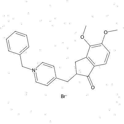 COc1ccc2c(c1OC)CC(Cc1cc[n+](Cc3ccccc3)cc1)C2=O.[Br-]